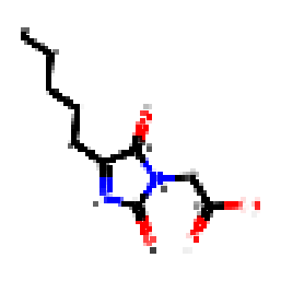 CCCCCC1=NC(=O)N(CC(=O)O)C1=O